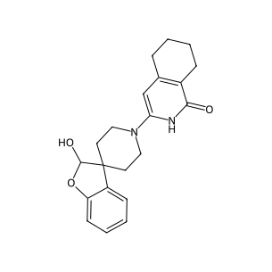 O=c1[nH]c(N2CCC3(CC2)c2ccccc2OC3O)cc2c1CCCC2